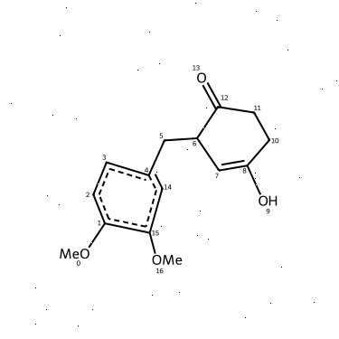 COc1ccc(CC2C=C(O)CCC2=O)cc1OC